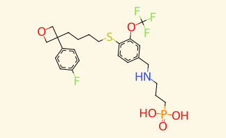 O=P(O)(O)CCCNCc1ccc(SCCCCC2(c3ccc(F)cc3)COC2)c(OC(F)(F)F)c1